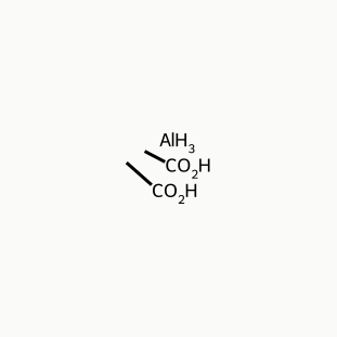 CC(=O)O.CC(=O)O.[AlH3]